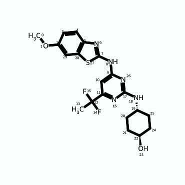 COc1ccc2nc(Nc3cc(C(C)(F)F)nc(N[C@H]4CC[C@H](O)CC4)n3)sc2c1